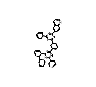 C1=CCCC(c2nc(C3=CC=CC(c4nc(-c5ccc6ncccc6c5)nc(C5C=CC=CC5)n4)C3)nc(C3C=CC=CC3c3ccccc3)n2)=C1